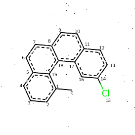 Cc1cccc2ccc3ccc4ccc(Cl)cc4c3c12